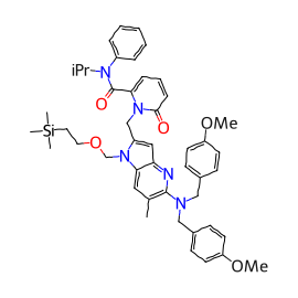 COc1ccc(CN(Cc2ccc(OC)cc2)c2nc3cc(Cn4c(C(=O)N(c5ccccc5)C(C)C)cccc4=O)n(COCC[Si](C)(C)C)c3cc2C)cc1